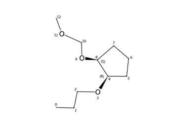 CCCO[C@@H]1CCC[C@@H]1OCOC